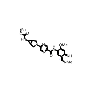 CN/C=C1/C=C(NC(=O)c2cnc(N3CC4C(C3)C4NC(=O)OC(C)(C)C)cn2)C(OC)=CC1=N